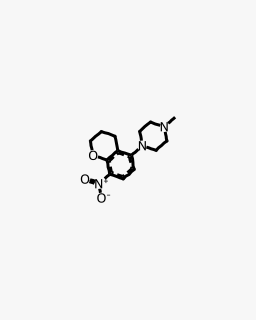 CN1CCN(c2ccc([N+](=O)[O-])c3c2CCCO3)CC1